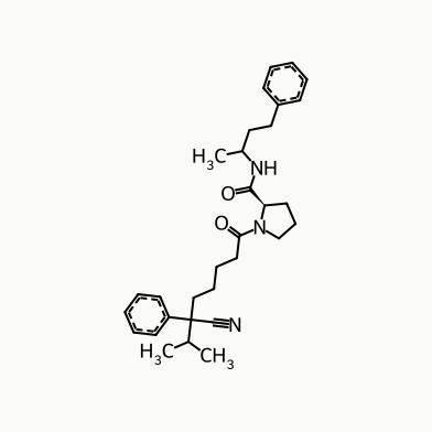 CC(CCc1ccccc1)NC(=O)[C@H]1CCCN1C(=O)CCCCC(C#N)(c1ccccc1)C(C)C